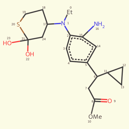 CCN(c1ccc(C(CC(=O)OC)C2CC2)cc1N)C1CCSC(O)(O)C1